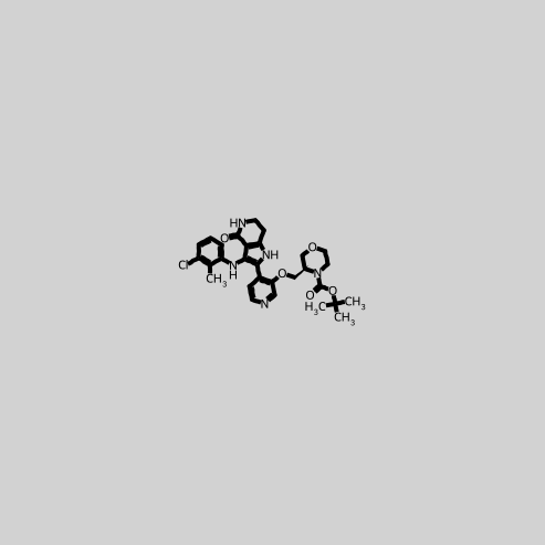 Cc1c(Cl)cccc1Nc1c(-c2ccncc2OC[C@H]2COCCN2C(=O)OC(C)(C)C)[nH]c2c1C(=O)NCC2